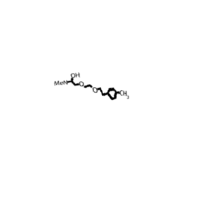 CNC(O)COCCOCCc1ccc(C)cc1